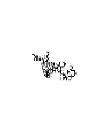 C=CCNC(=O)C(=O)C(CCCC)NC(=O)[C@@H]1[C@@H]2[C@H](CN1C(=O)[C@@H](NC(=O)N[C@H](CN1C(=O)CCCC1=O)C(C)(C)C)C1(C)CCCCC1)C2(C)C